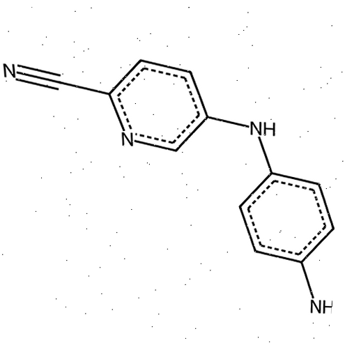 N#Cc1ccc(Nc2ccc(N)cc2)cn1